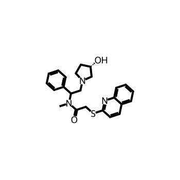 CN(C(=O)CSc1ccc2ccccc2n1)C(CN1CC[C@H](O)C1)c1ccccc1